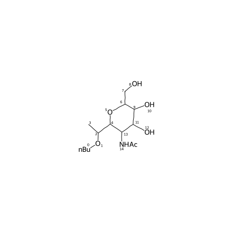 CCCCOC(C)C1OC(CO)C(O)C(O)C1NC(C)=O